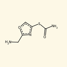 NCc1nc(SC(N)=O)co1